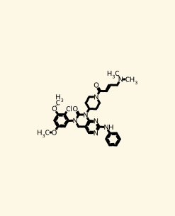 COc1cc(OC)c(Cl)c(N2Cc3cnc(Nc4ccccc4)nc3N(C3CCN(C(=O)/C=C/CN(C)C)CC3)C2=O)c1